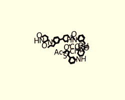 CC(=O)c1sc(-c2cccc(N[C@H]3CCN(S(=O)(=O)Cc4cccc(NC(=O)N5CCC(c6ccc7c(c6)CC(C)N7C6CCC(=O)NC6=O)CC5)c4)C(C)(C)C3)c2)c(Cl)c1OCC(=O)O